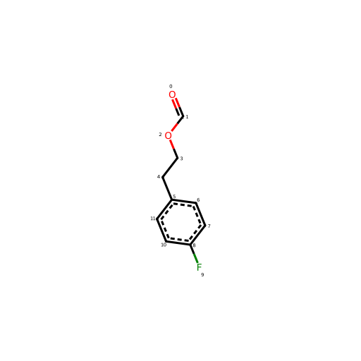 O=[C]OCCc1ccc(F)cc1